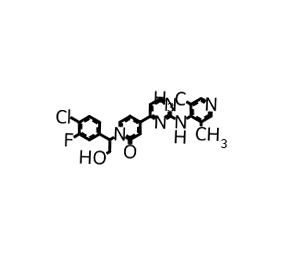 Cc1cncc(C)c1Nc1nccc(-c2ccn(C(CO)c3ccc(Cl)c(F)c3)c(=O)c2)n1